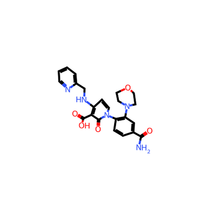 NC(=O)c1ccc(-n2ccc(NCc3ccccn3)c(C(=O)O)c2=O)c(N2CCOCC2)c1